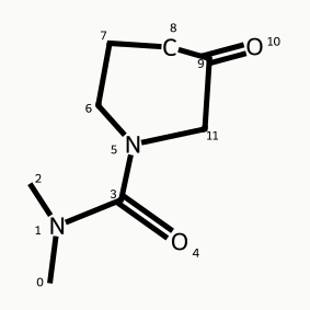 CN(C)C(=O)N1CCCC(=O)C1